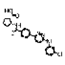 O=C(N[C@@H]1CCC[C@@H]1C(=O)O)c1ccc(-c2ccc(Nc3cccc(Cl)c3)nn2)cc1